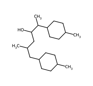 CC1CCC(CC(C)CC(O)C(C)C2CCC(C)CC2)CC1